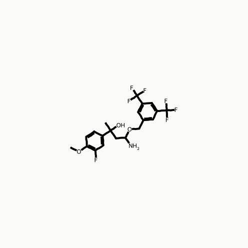 COc1ccc(C(C)(O)CC(N)OCc2cc(C(F)(F)F)cc(C(F)(F)F)c2)cc1F